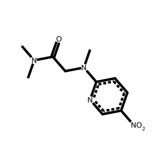 CN(C)C(=O)CN(C)c1ccc([N+](=O)[O-])cn1